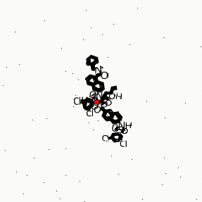 CCCCC(C(=O)O)(C(OC(=O)c1ccc2cc(NS(=O)(=O)c3cc(Cl)cc(Cl)c3)ccc2c1)C(N)=O)N(c1ccc2c(C(=O)N(C)Cc3ccccc3)cccc2c1)S(=O)(=O)c1cc(Cl)cc(Cl)c1